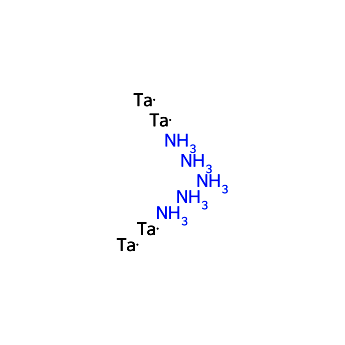 N.N.N.N.N.[Ta].[Ta].[Ta].[Ta]